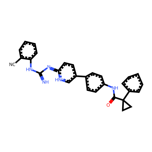 N#Cc1ccccc1NC(=N)/N=c1/ccc(-c2ccc(NC(=O)C3(c4ccccc4)CC3)cc2)c[nH]1